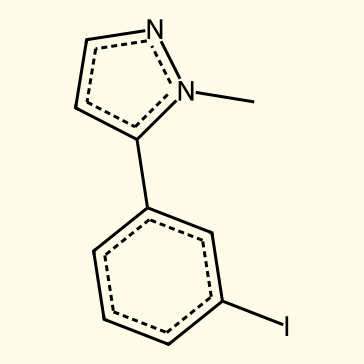 Cn1nccc1-c1cccc(I)c1